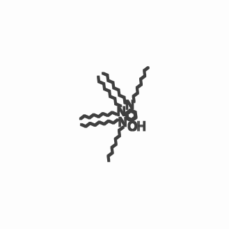 CCCCCCCCCN(CCCCCCCCC)c1ccc(O)c(N(CCCCCCCCC)CCCCCCCCC)c1N(CCCCCCCCC)CCCCCCCCC